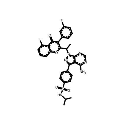 CC(C)NS(=O)(=O)c1ccc(-c2nn(C(C)c3oc4cccc(F)c4c(=O)c3-c3cccc(F)c3)c3ncnc(N)c23)cc1